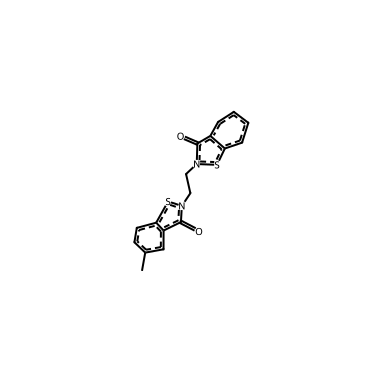 Cc1ccc2sn(CCn3sc4ccccc4c3=O)c(=O)c2c1